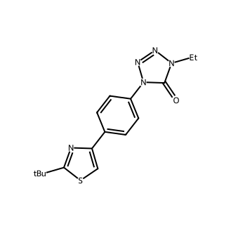 CCn1nnn(-c2ccc(-c3csc(C(C)(C)C)n3)cc2)c1=O